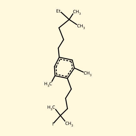 CCC(C)(C)CCCc1cc(C)c(CCCC(C)(C)I)c(C)c1